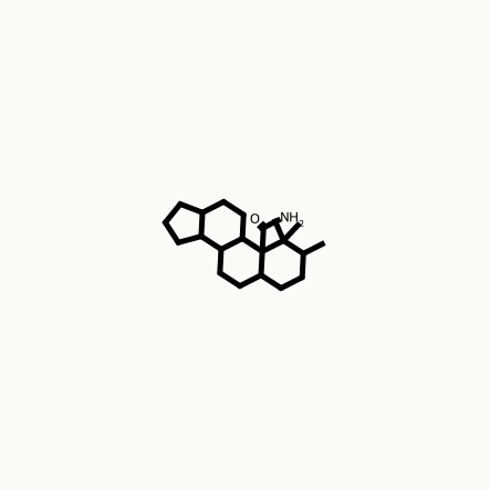 CC1CCC2CCC3C4CCCC4CCC3C2(C(N)=O)C1(C)C